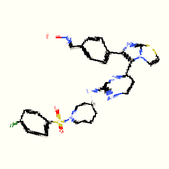 O=S(=O)(c1ccc(Cl)cc1)N1CCC[C@@H](Nc2nccc(-c3c(-c4ccc(/C=N/O)cc4)nc4sccn34)n2)C1